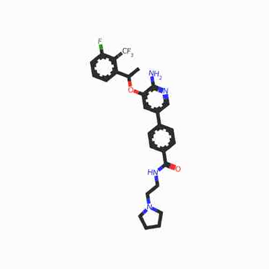 CC(Oc1cc(-c2ccc(C(=O)NCCN3CCCC3)cc2)cnc1N)c1cccc(F)c1C(F)(F)F